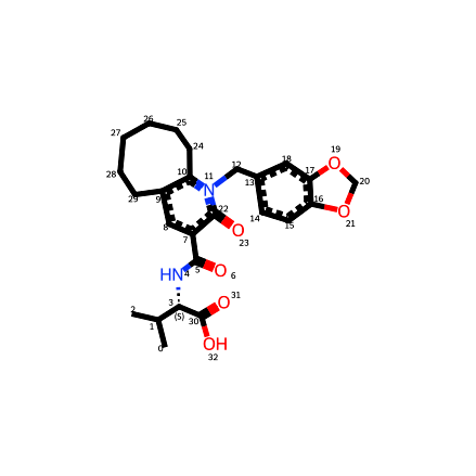 CC(C)[C@H](NC(=O)c1cc2c(n(Cc3ccc4c(c3)OCO4)c1=O)CCCCCC2)C(=O)O